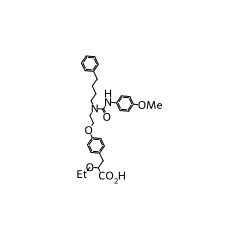 CCOC(Cc1ccc(OCCN(CCCCc2ccccc2)C(=O)Nc2ccc(OC)cc2)cc1)C(=O)O